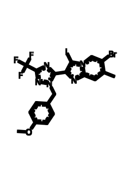 COc1ccc(Cn2nc(C(F)(F)F)nc2-c2nc3cc(C)c(Br)cn3c2I)cc1